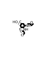 O=C(CCl)Nc1c(F)cc(C(=O)O)cc1NCC1CCO1